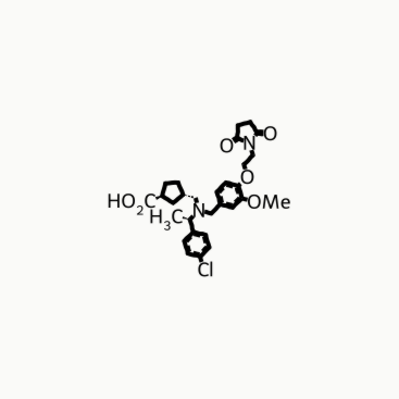 COc1cc(CN(C[C@H]2CC[C@H](C(=O)O)C2)[C@@H](C)c2ccc(Cl)cc2)ccc1OCCN1C(=O)CCC1=O